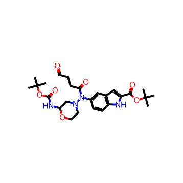 CC(C)(C)OC(=O)NC1CN(N(C(=O)CCC=O)c2ccc3[nH]c(C(=O)OC(C)(C)C)cc3c2)CCO1